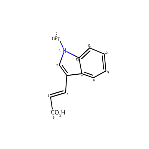 CCCn1cc(C=CC(=O)O)c2ccccc21